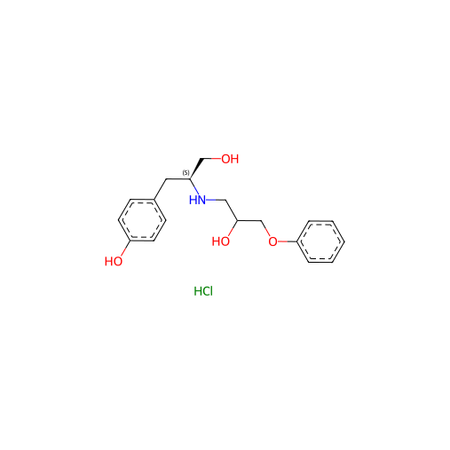 Cl.OC[C@H](Cc1ccc(O)cc1)NCC(O)COc1ccccc1